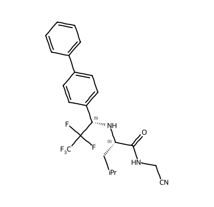 CC(C)C[C@H](N[C@@H](c1ccc(-c2ccccc2)cc1)C(F)(F)C(F)(F)F)C(=O)NCC#N